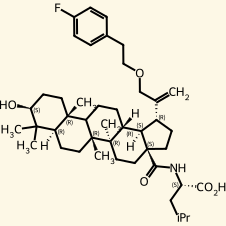 C=C(COCCc1ccc(F)cc1)[C@@H]1CC[C@]2(C(=O)N[C@@H](CC(C)C)C(=O)O)CC[C@]3(C)[C@H](CCC4[C@@]5(C)CC[C@H](O)C(C)(C)[C@@H]5CC[C@]43C)[C@@H]12